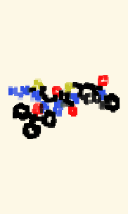 Nc1nc(C(=NOC(c2ccccc2)(c2ccccc2)c2ccccc2)C(=O)N[C@@H]2C(=O)N3C(C(=O)O)=C(C=C4CN(c5ccccc5)C4=O)CS[C@H]23)cs1